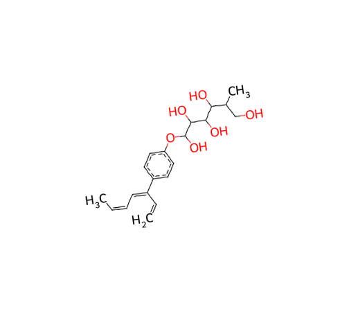 C=C/C(=C\C=C/C)c1ccc(OC(O)C(O)C(O)C(O)C(C)CO)cc1